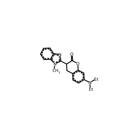 CCN(CC)c1ccc2c(c1)OC(=O)C(c1nc3ccccc3n1C)C2